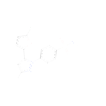 NS(=O)(=O)c1ccc(-n2nc(C(F)(F)F)cc2-c2ccc(Cl)o2)cc1